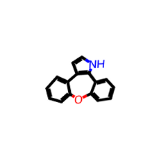 c1ccc2c(c1)Oc1ccccc1-c1[nH]ccc1-2